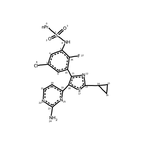 CCCS(=O)(=O)Nc1cc(Cl)cc(-c2nc(C3CC3)sc2-c2ccnc(N)n2)c1F